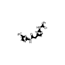 CC(C)C(=O)Nc1nc(CC(=O)Nc2ncc(C(C)C)s2)cs1